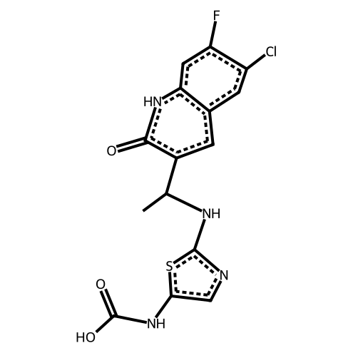 CC(Nc1ncc(NC(=O)O)s1)c1cc2cc(Cl)c(F)cc2[nH]c1=O